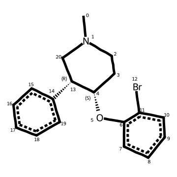 CN1CC[C@H](Oc2ccccc2Br)[C@H](c2ccccc2)C1